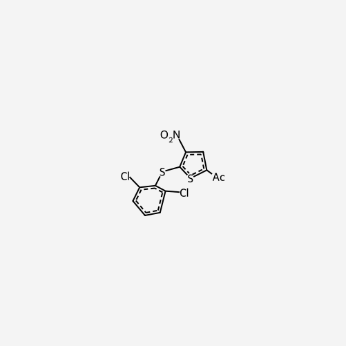 CC(=O)c1cc([N+](=O)[O-])c(Sc2c(Cl)cccc2Cl)s1